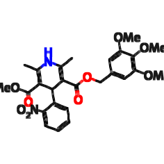 COC(=O)C1=C(C)NC(C)=C(C(=O)OCc2cc(OC)c(OC)c(OC)c2)C1c1ccccc1[N+](=O)[O-]